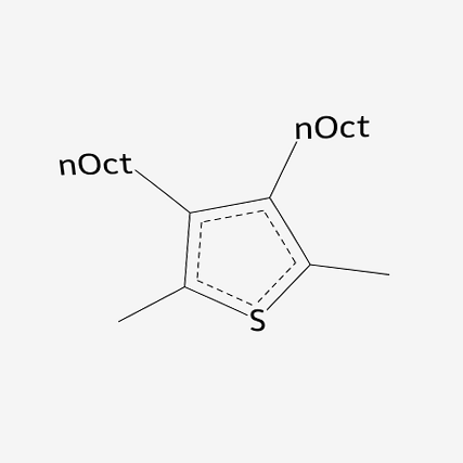 CCCCCCCCc1c(C)sc(C)c1CCCCCCCC